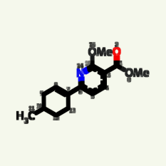 COC(=O)c1ccc(C2=CCC(C)CC2)nc1OC